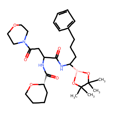 CC1(C)OB(C(CCCc2ccccc2)NC(=O)C(CC(=O)N2CCOCC2)NC(=O)[C@@H]2CCCCO2)OC1(C)C